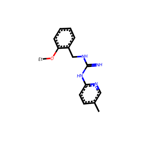 CCOc1ccccc1CNC(=N)Nc1ccc(C)cn1